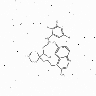 COc1ccc2ncc(C)c(CCCC3(C(O)CCNc4cc(F)cc(F)c4F)CCNCC3)c2c1